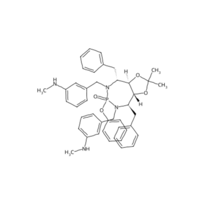 CNc1cccc(CN2[C@H](Cc3ccccc3)[C@H]3OC(C)(C)O[C@@H]3[C@@H](Cc3ccccc3)N(Cc3cccc(NC)c3)P2(=O)Oc2ccccc2)c1